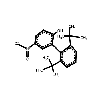 CC(C)(C)c1cccc(C(C)(C)C)c1-c1cc([N+](=O)[O-])ccc1O